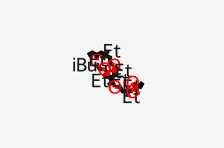 C=CC(=O)CC(CC)(CC)CCOC(C)(CC)CC(CC)(C(C)(CC)OCCC(C)CC)C(C)(CC)OCCC(CC)(CC)OC(=O)C=C